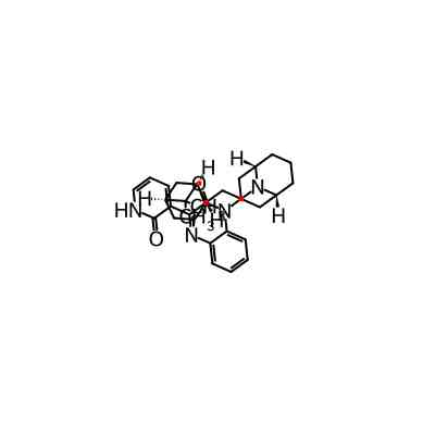 CC1(C)[C@H]2CC[C@@H](CCN3[C@@H]4CCC[C@H]3CC(n3c(=O)c(-c5ccc[nH]c5=O)nc5ccccc53)C4)[C@@H]1C2